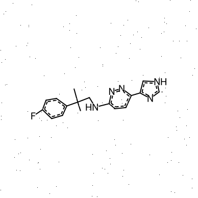 CC(C)(CNc1ccc(-c2c[nH][c]n2)nn1)c1ccc(F)cc1